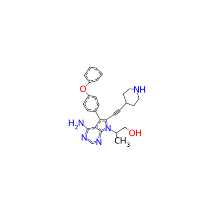 CC(CO)n1c(C#CC2CCNCC2)c(-c2ccc(Oc3ccccc3)cc2)c2c(N)ncnc21